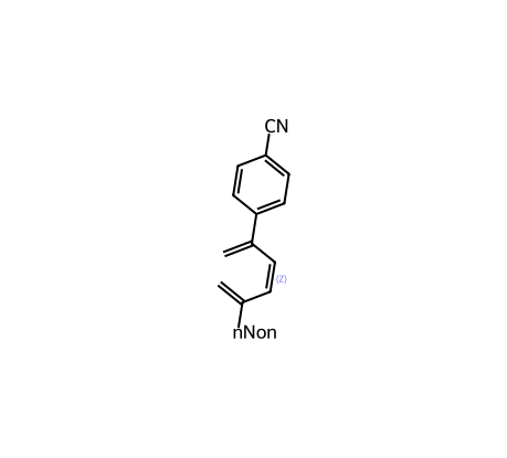 C=C(/C=C\C(=C)c1ccc(C#N)cc1)CCCCCCCCC